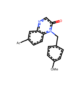 COc1ccc(Cn2c(=O)cnc3cc(C(C)=O)ccc32)cc1